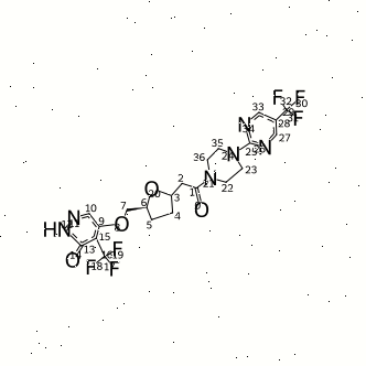 O=C(CC1CC[C@@H](COc2cn[nH]c(=O)c2C(F)(F)F)O1)N1CCN(c2ncc(C(F)(F)F)cn2)CC1